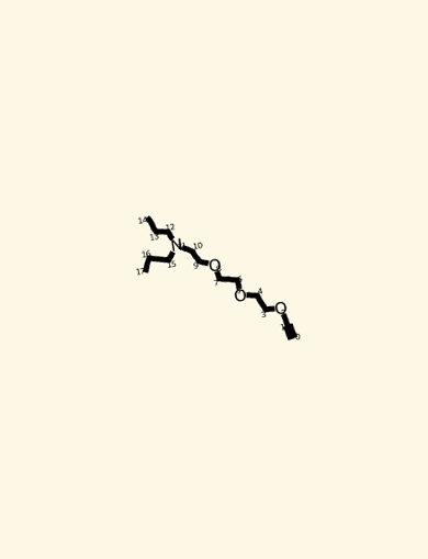 C#COCCOCCOCCN(CCC)CCC